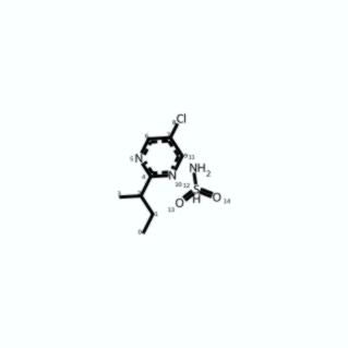 CCC(C)c1ncc(Cl)cn1.N[SH](=O)=O